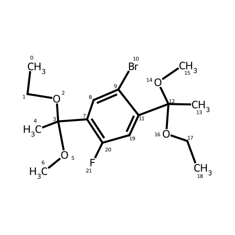 CCOC(C)(OC)c1cc(Br)c(C(C)(OC)OCC)cc1F